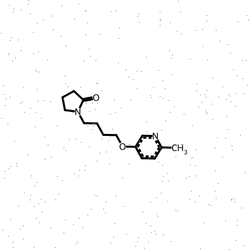 Cc1ccc(OCCCCN2CCCC2=O)cn1